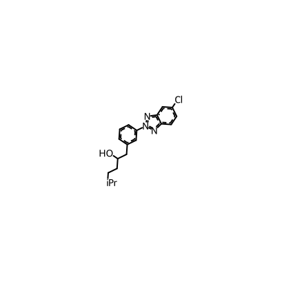 CC(C)CCC(O)Cc1cccc(-n2nc3ccc(Cl)cc3n2)c1